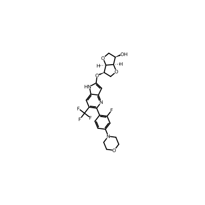 O[C@@H]1CO[C@H]2[C@@H]1OC[C@H]2Oc1cc2nc(-c3ccc(N4CCOCC4)cc3F)c(C(F)(F)F)cc2[nH]1